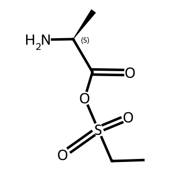 CCS(=O)(=O)OC(=O)[C@H](C)N